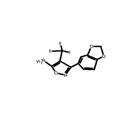 Nc1onc(-c2ccc3c(c2)OCO3)c1C(F)(F)F